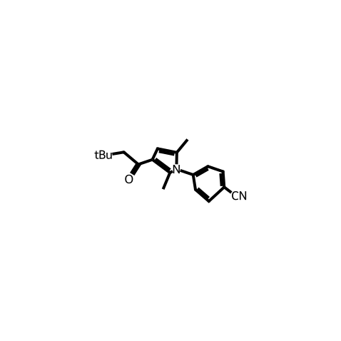 Cc1cc(C(=O)CC(C)(C)C)c(C)n1-c1ccc(C#N)cc1